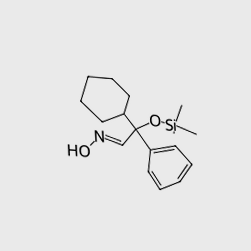 C[Si](C)(C)OC(C=NO)(c1ccccc1)C1CCCCC1